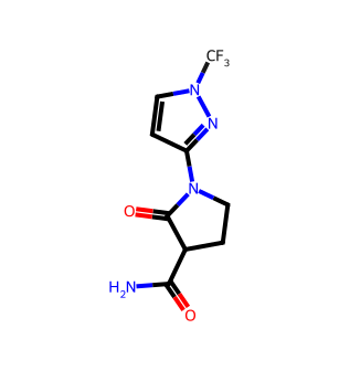 NC(=O)C1CCN(c2ccn(C(F)(F)F)n2)C1=O